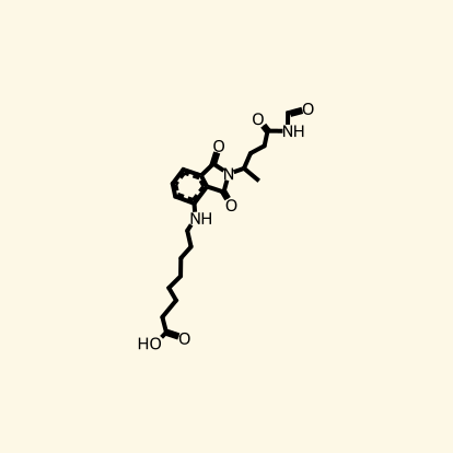 CC(CCC(=O)NC=O)N1C(=O)c2cccc(NCCCCCCCC(=O)O)c2C1=O